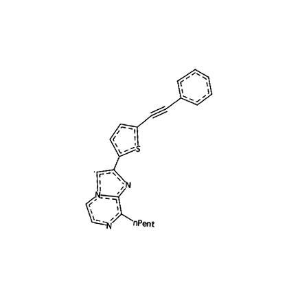 CCCCCc1nccn2[c]c(-c3ccc(C#Cc4ccccc4)s3)nc12